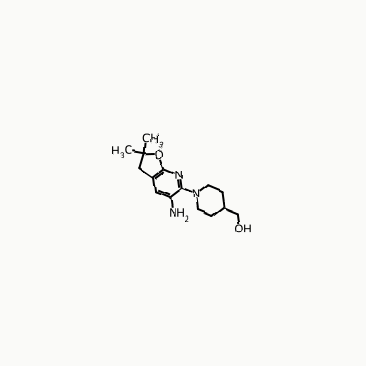 CC1(C)Cc2cc(N)c(N3CCC(CO)CC3)nc2O1